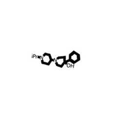 CC(C)N1CCC(N2CCC(O)(c3ccccc3)CC2)CC1